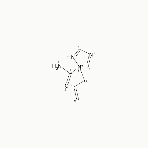 C=C[CH][N+]1(C(N)=O)C=NC=N1